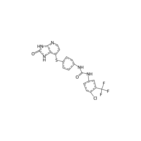 O=C(Nc1ccc(Sc2ccnc3[nH]c(=O)[nH]c23)cc1)Nc1ccc(Cl)c(C(F)(F)F)c1